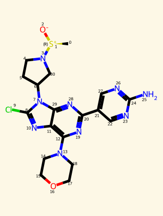 C[S@+]([O-])N1CCC(n2c(Cl)nc3c(N4CCOCC4)nc(-c4cnc(N)nc4)nc32)C1